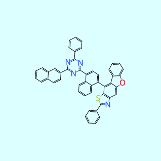 c1ccc(-c2nc(-c3ccc4ccccc4c3)nc(-c3ccc(-c4c5sc(-c6ccccc6)nc5cc5oc6ccccc6c45)c4ccccc34)n2)cc1